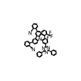 N#Cc1ccccc1-c1ccc2c(c1)c1cc(-c3ccccc3C#N)ccc1n2-c1cc(-c2nc(-c3ccccc3)nc(-c3ccccc3)n2)ccc1-c1ccccc1C(F)(F)F